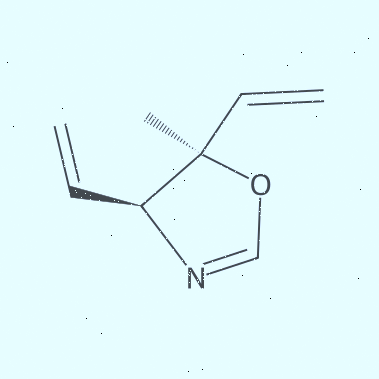 C=C[C@@H]1N=CO[C@]1(C)C=C